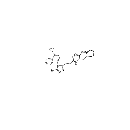 COC(=O)C(Cc1ccccc1)NC(=O)CSc1nnc(Br)n1-c1ccc(C2CC2)c2ccccc12